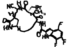 CC(C)C[C@H]1C(=O)N[C@H](C#N)C[C@@H]2C[C@@H](CCCC[C@H](NC(=O)c3cc4c(F)cc(F)c(F)c4[nH]3)C(=O)N1C)NC2=O